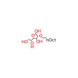 CCCCCCCCCCO[C@H]1C(O)O[C@@H]([C@H](O)CO)[C@@H]1O